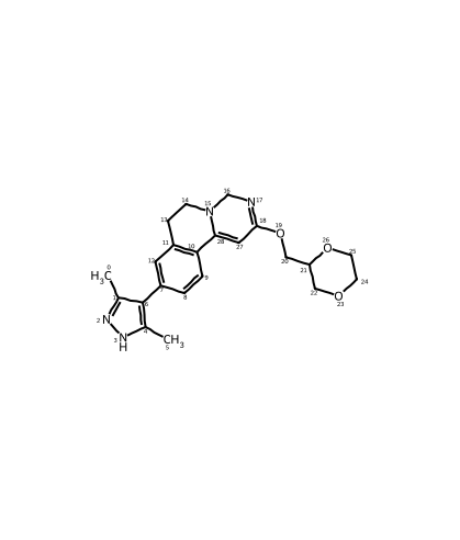 Cc1n[nH]c(C)c1-c1ccc2c(c1)CCN1CN=C(OCC3COCCO3)C=C21